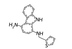 Nc1ccc(NCc2cccs2)c2[nH]c3ccccc3c12